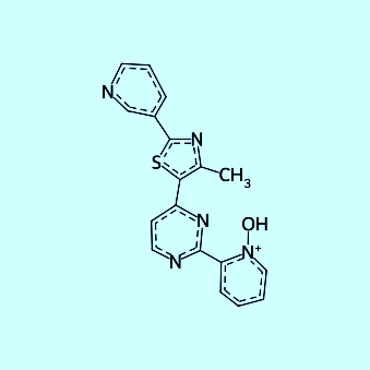 Cc1nc(-c2cccnc2)sc1-c1ccnc(-c2cccc[n+]2O)n1